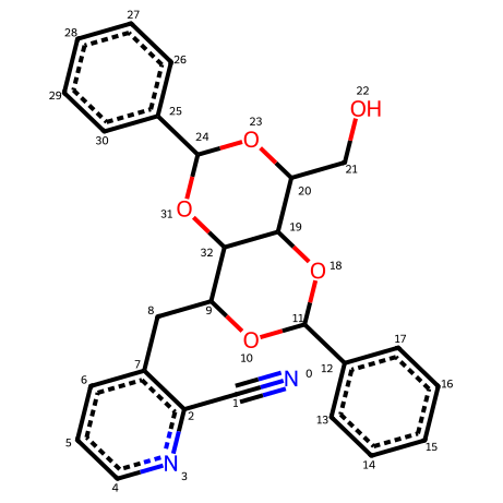 N#Cc1ncccc1CC1OC(c2ccccc2)OC2C(CO)OC(c3ccccc3)OC12